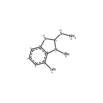 CCCc1cccc2c1N(C(C)(C)C)C(SN)S2